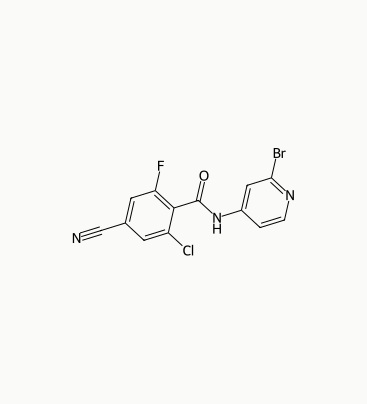 N#Cc1cc(F)c(C(=O)Nc2ccnc(Br)c2)c(Cl)c1